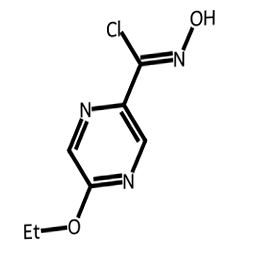 CCOc1cnc(C(Cl)=NO)cn1